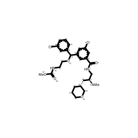 CN[C@H](CNC(=O)c1cc(Cl)cc(C(OCCNC(=O)OC)c2cccc(Cl)c2)c1)C[C@H]1CCCOC1